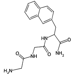 NCC(=O)NCC(=O)NC(Cc1ccc2ccccc2c1)C(N)=O